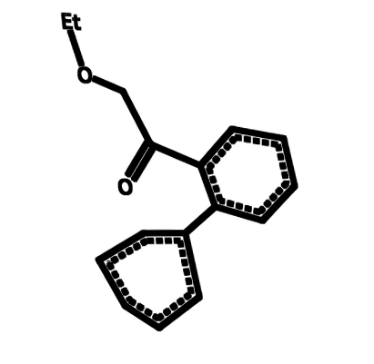 CCOCC(=O)c1ccccc1-c1ccccc1